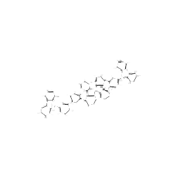 c1ccc([Si](c2ccccc2)(c2cccc3c2oc2ccc(-c4cccc(-n5c6ccccc6c6ccccc65)c4)cc23)c2cccc3c2oc2ccc(-n4c5ccccc5c5ccccc54)cc23)cc1